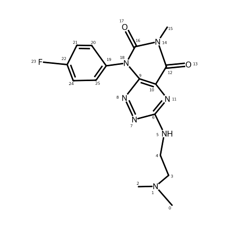 CN(C)CCNc1nnc2c(n1)c(=O)n(C)c(=O)n2-c1ccc(F)cc1